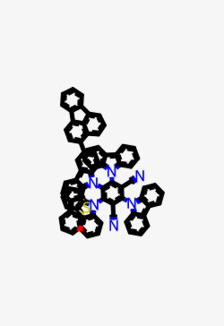 N#Cc1c(-n2c3ccccc3c3ccccc32)c(C#N)c(-n2c3ccccc3c3ccccc32)c(-n2c3ccc(-c4ccc5c6c(cccc46)-c4ccccc4-5)cc3c3ccc4c5ccccc5sc4c32)c1-n1c2ccccc2c2ccccc21